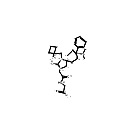 CN(C)[C@]1(c2ccccc2)CC[C@]2(CC1)CN(CC(=O)NCC(N)=O)C(O)N2CC1(C#N)CCC1